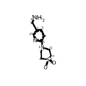 NCc1ccc(N2CCS(=O)(=O)CC2)nc1